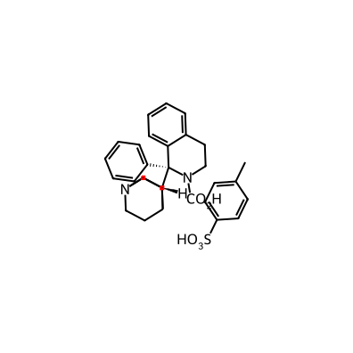 Cc1ccc(S(=O)(=O)O)cc1.O=C(O)N1CCc2ccccc2[C@]1(c1ccccc1)[C@H]1CN2CCC1CC2